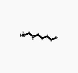 [CH2]CCCCOCO